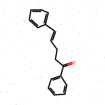 O=C(CC/C=C/c1ccccc1)c1ccccc1